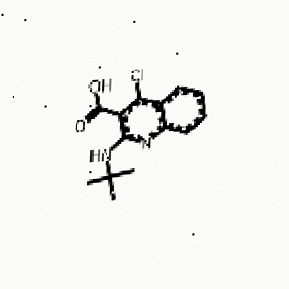 CC(C)(C)Nc1nc2ccccc2c(Cl)c1C(=O)O